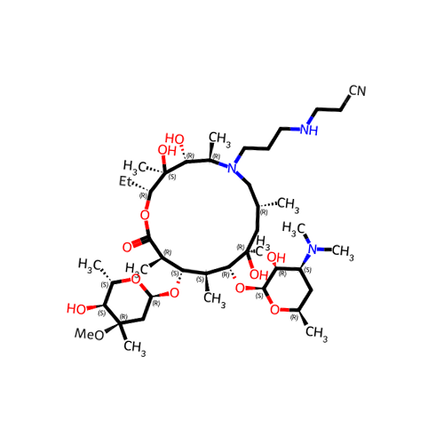 CC[C@H]1OC(=O)[C@H](C)[C@@H](O[C@H]2C[C@@](C)(OC)[C@@H](O)[C@H](C)O2)[C@H](C)[C@@H](O[C@@H]2O[C@H](C)C[C@H](N(C)C)[C@H]2O)[C@](C)(O)C[C@@H](C)CN(CCCNCCC#N)[C@H](C)[C@@H](O)[C@]1(C)O